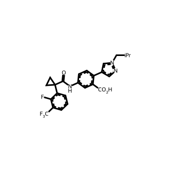 CC(C)Cn1cc(-c2ccc(NC(=O)C3(c4cccc(C(F)(F)F)c4F)CC3)cc2C(=O)O)cn1